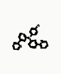 Brc1ccc(N(c2cccc(-c3ccccn3)c2)c2cccc(-c3ccccn3)c2)cc1